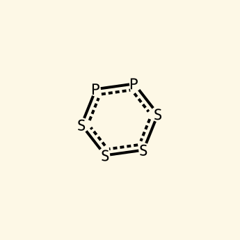 p1pssss1